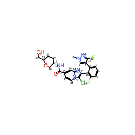 Cn1cc(-c2cccc(F)c2-c2nc3cc(C(=O)N[C@H]4CC[C@H](CO)OC4)ccn3c2Cl)c(F)n1